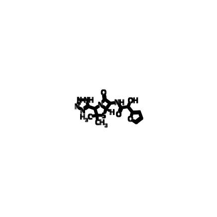 CC1(C)S[C@H]2C(NC(=O)C(O)c3ccco3)C(=O)N2C1c1nnn[nH]1